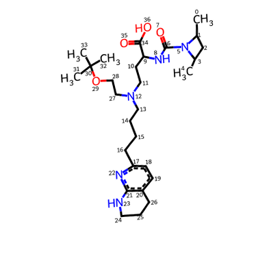 CC1CC(C)N1C(=O)NC(CCN(CCCCc1ccc2c(n1)NCCC2)CCOC(C)(C)C)C(=O)O